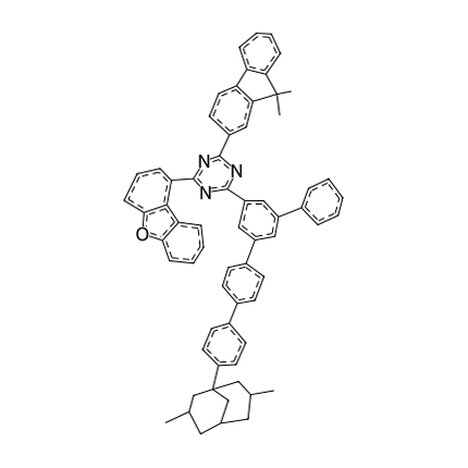 CC1CC2CC(C)CC(c3ccc(-c4ccc(-c5cc(-c6ccccc6)cc(-c6nc(-c7ccc8c(c7)C(C)(C)c7ccccc7-8)nc(-c7cccc8oc9ccccc9c78)n6)c5)cc4)cc3)(C1)C2